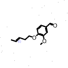 C/C=C/CCOc1ccc(C=O)cc1OC